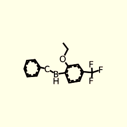 CCOc1cc(C(F)(F)F)ccc1BCc1ccccc1